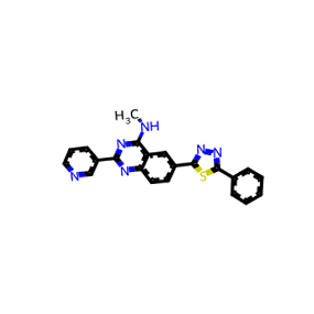 CNc1nc(-c2cccnc2)nc2ccc(-c3nnc(-c4ccccc4)s3)cc12